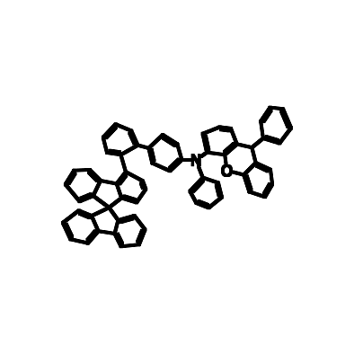 c1ccc(C2c3ccccc3Oc3c2cccc3N(c2ccccc2)c2ccc(-c3ccccc3-c3cccc4c3-c3ccccc3C43c4ccccc4-c4ccccc43)cc2)cc1